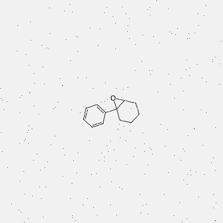 c1ccc(C23CCCCC2O3)cc1